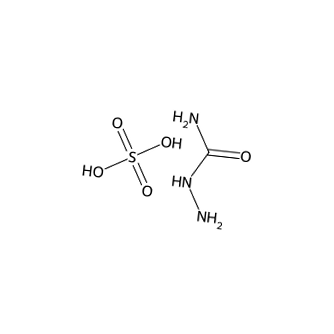 NNC(N)=O.O=S(=O)(O)O